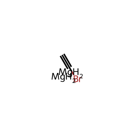 C#CBr.[MgH2].[MgH2]